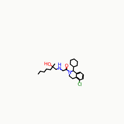 CCCCCC(C)(O)CNCC(=O)N1CCc2c(Cl)cccc2C1C1CCCCC1